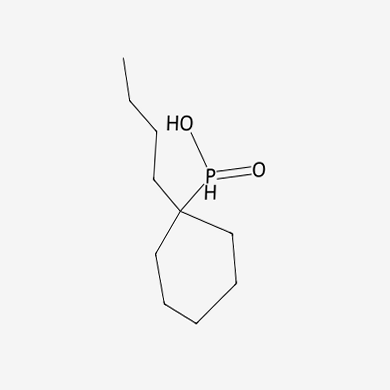 CCCCC1([PH](=O)O)CCCCC1